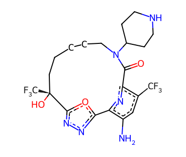 Nc1cc(C(F)(F)F)c2nc1-c1nnc(o1)[C@@](O)(C(F)(F)F)CCCCCN(C1CCNCC1)C2=O